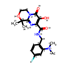 CC(=O)N(C)c1cc(F)ccc1CNC(=O)c1nc2n(c(=O)c1O)CCOC2(C)C